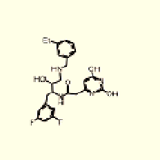 CCc1cccc(CNC[C@H](O)[C@H](Cc2cc(F)cc(F)c2)NC(=O)Cc2cc(O)nc(O)n2)c1